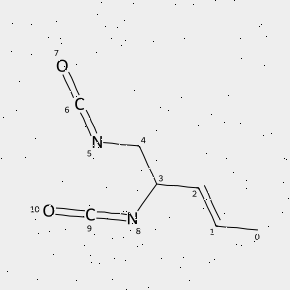 CC=CC(CN=C=O)N=C=O